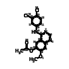 COc1cc2ncnc(Nc3ccc(Cl)c(Cl)c3)c2cc1OC(C)=O